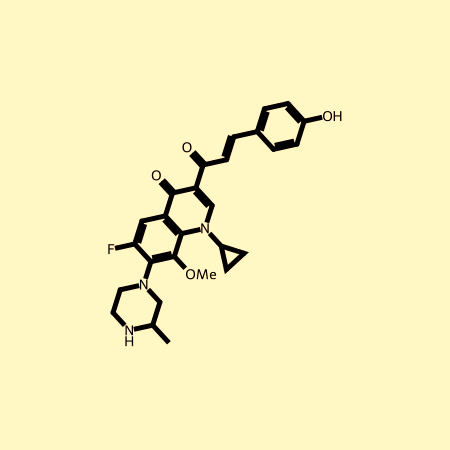 COc1c(N2CCNC(C)C2)c(F)cc2c(=O)c(C(=O)C=Cc3ccc(O)cc3)cn(C3CC3)c12